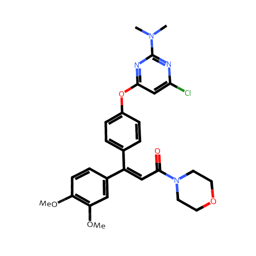 COc1ccc(C(=CC(=O)N2CCOCC2)c2ccc(Oc3cc(Cl)nc(N(C)C)n3)cc2)cc1OC